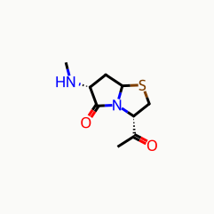 CN[C@@H]1CC2SC[C@H](C(C)=O)N2C1=O